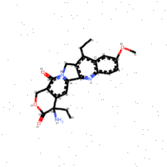 CCc1c2c(nc3ccc(OC)cc13)-c1cc3c(c(=O)n1C2)COC(=O)C3(N)CC